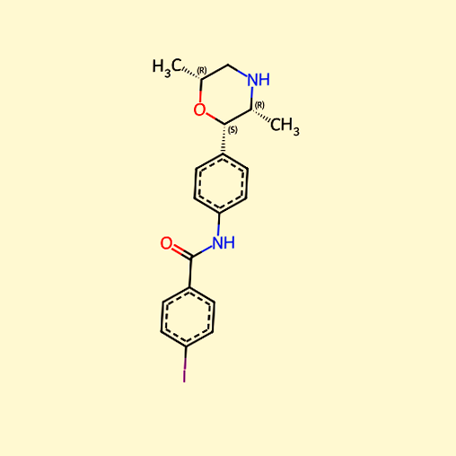 C[C@@H]1CN[C@H](C)[C@H](c2ccc(NC(=O)c3ccc(I)cc3)cc2)O1